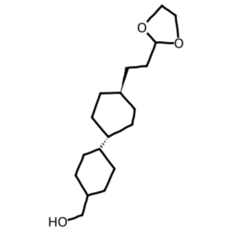 OCC1CCC([C@H]2CC[C@H](CCC3OCCO3)CC2)CC1